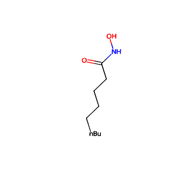 CCCCCCCCC(=O)NO